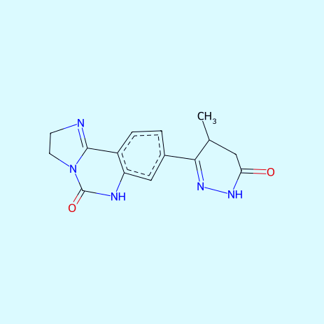 CC1CC(=O)NN=C1c1ccc2c(c1)NC(=O)N1CCN=C21